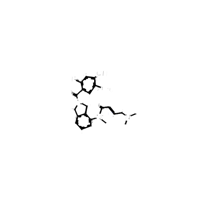 CN(C)C/C=C/C(=O)N(C)c1cccc2c1CN(C(=O)c1cc(C(C)(C)C)c(O)cc1F)C2